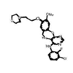 COc1cc2c(cc1OCCN1CCOCC1)CNc1c(Nc3cccc(Cl)c3F)ncnc1O2